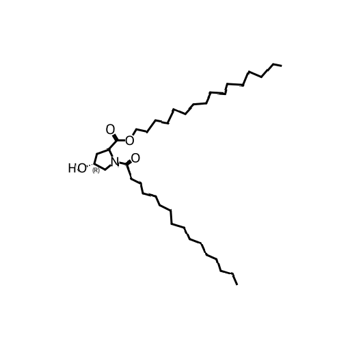 CCCCCCCCCCCCCCCCOC(=O)C1C[C@@H](O)CN1C(=O)CCCCCCCCCCCCCCC